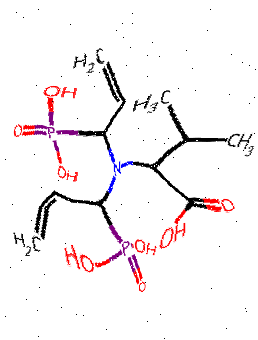 C=CC(N(C(C(=O)O)C(C)C)C(C=C)P(=O)(O)O)P(=O)(O)O